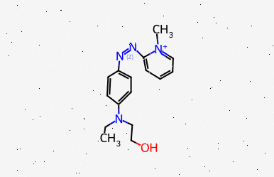 CCN(CCO)c1ccc(/N=N\c2cccc[n+]2C)cc1